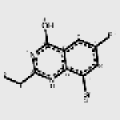 CCc1nc(O)c2cc(F)cc(Br)c2n1